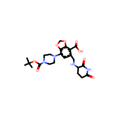 CC(C)(C)OC(=O)N1CCN(c2cc(CNC3CCC(=O)NC3=O)c(C(=O)O)c3c2OCO3)CC1